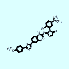 CC(C)c1ccc(N(C)C)cc1N1C(=O)CS/C1=N\C(=O)Nc1ccc(-c2nnc(-c3ccc(OC(F)(F)F)cc3)s2)cc1F